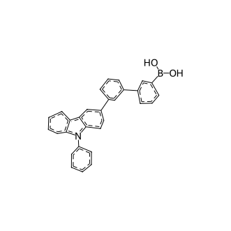 OB(O)c1cccc(-c2cccc(-c3ccc4c(c3)c3ccccc3n4-c3ccccc3)c2)c1